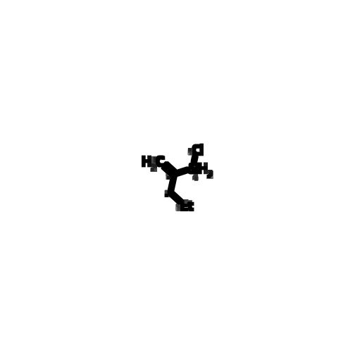 C=C(CCC)[SiH2]Cl